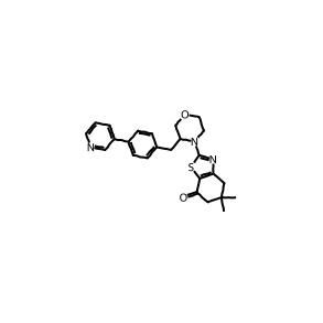 CC1(C)CC(=O)c2sc(N3CCOCC3Cc3ccc(-c4cccnc4)cc3)nc2C1